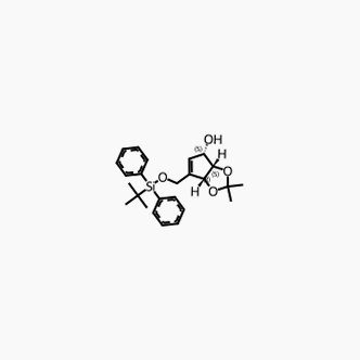 CC1(C)O[C@@H]2[C@H](O1)C(CO[Si](c1ccccc1)(c1ccccc1)C(C)(C)C)=C[C@@H]2O